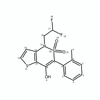 Cc1ccccc1C1=C(O)c2sccc2N(CC(F)F)S1(=O)=O